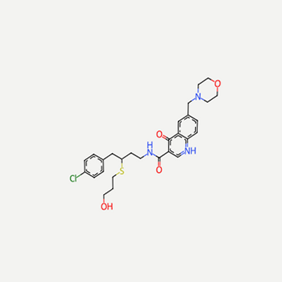 O=C(NCCC(Cc1ccc(Cl)cc1)SCCCO)c1c[nH]c2ccc(CN3CCOCC3)cc2c1=O